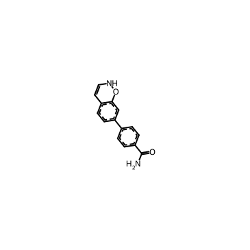 NC(=O)c1ccc(-c2ccc3c(c2)ONC=C3)cc1